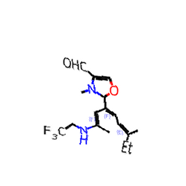 CC/C(C)=C/C=C(\C=C(/C)NCC(F)(F)F)C1OC=C(C=O)N1C